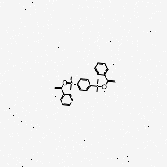 C=C(OC(C)(C)c1ccc(C(C)(C)OC(=C)c2ccccc2)cc1)c1ccccc1